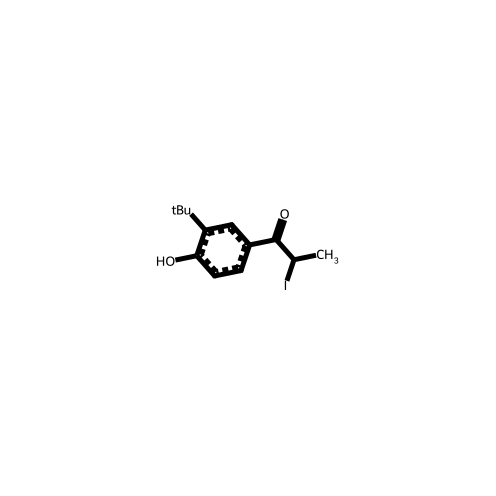 CC(I)C(=O)c1ccc(O)c(C(C)(C)C)c1